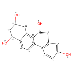 Oc1ccc2c(c1)cc(O)c1c3c(ccc12)C(O)CC(O)C3